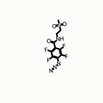 CS(=O)(=O)CCNC(=O)c1c(F)c(F)c(N=[N+]=[N-])c(F)c1F